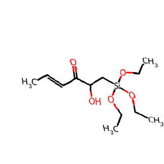 CC=CC(=O)C(O)C[Si](OCC)(OCC)OCC